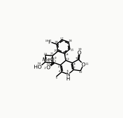 COC(=O)C1=C(C)NC2=C(C(=O)OC2)C1c1cccc(F)c1C1CC(O)C1